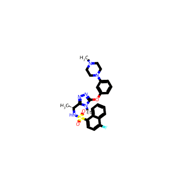 CCn1c(Oc2cccc(N3CCN(C)CC3)c2)nnc1[C@@H](C)NS(=O)(=O)c1ccc(F)c2ccccc12